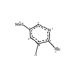 CSc1cnc(C(C)(C)C)c(C)c1